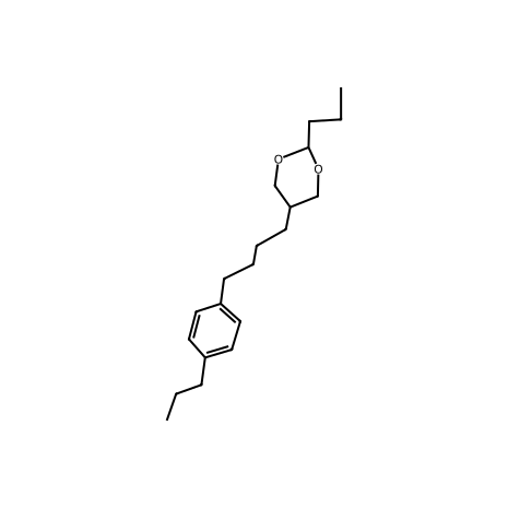 CCCc1ccc(CCCCC2COC(CCC)OC2)cc1